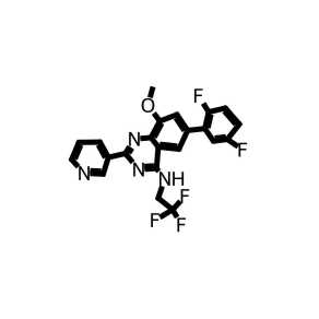 COc1cc(-c2cc(F)ccc2F)cc2c(NCC(F)(F)F)nc(-c3cccnc3)nc12